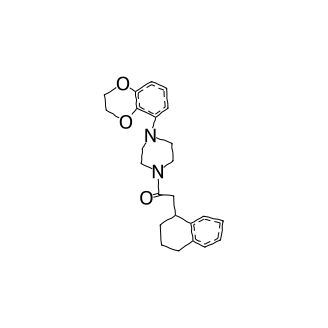 O=C(CC1CCCc2ccccc21)N1CCN(c2cccc3c2OCCO3)CC1